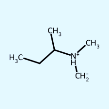 [CH2-][NH+](C)C(C)CC